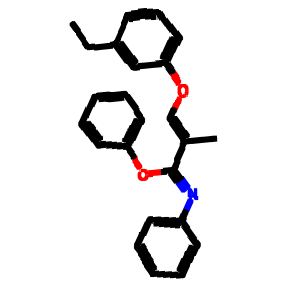 CCc1cccc(O/C=C(C)/C(=N/c2ccccc2)Oc2ccccc2)c1